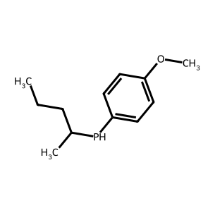 CCCC(C)Pc1ccc(OC)cc1